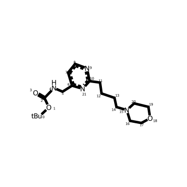 CC(C)(C)OC(=O)NCc1ccnc(CCCCN2CCOCC2)n1